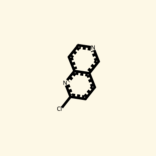 Clc1ccc2cn[c]cc2n1